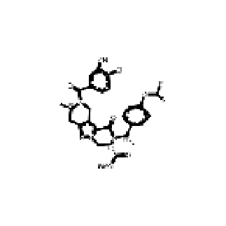 CNC(=O)[C@@H]1Cn2nc3c(c2C(=O)N1[C@@H](C)c1ccc(OC(F)F)cc1)CN(C(=O)c1ccc(Cl)c(C#N)c1)[C@H](C)C3